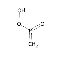 C=P(=O)OO